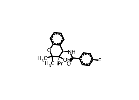 CC(C)[C@@]1(O)[C@H](NC(=O)c2ccc(F)cc2)c2ccccc2OC1(C)C